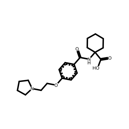 O=C(NC1(C(=O)O)CCCCC1)c1ccc(OCCN2CCCC2)cc1